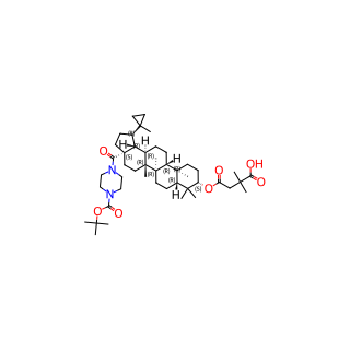 CC(C)(C)OC(=O)N1CCN(C(=O)[C@]23CC[C@@H](C4(C)CC4)[C@@H]2[C@H]2CC[C@@H]4[C@@]5(C)CC[C@H](OC(=O)CC(C)(C)C(=O)O)C(C)(C)[C@@H]5CC[C@@]4(C)[C@]2(C)CC3)CC1